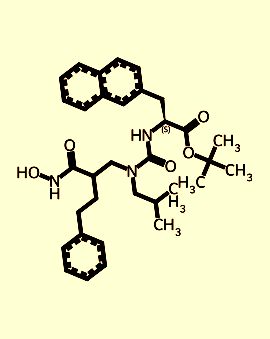 CC(C)CN(CC(CCc1ccccc1)C(=O)NO)C(=O)N[C@@H](Cc1ccc2ccccc2c1)C(=O)OC(C)(C)C